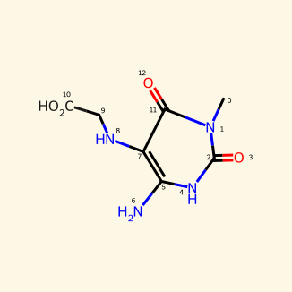 Cn1c(=O)[nH]c(N)c(NCC(=O)O)c1=O